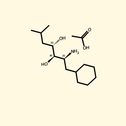 CC(=O)O.CC(C)C[C@H](O)[C@H](O)[C@@H](N)CC1CCCCC1